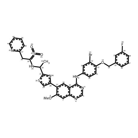 COc1cc2ncnc(Nc3ccc(OCc4cccc(F)c4)c(Br)c3)c2cc1-c1csc(C(C)NC(Cc2ccccn2)=S(=O)=O)n1